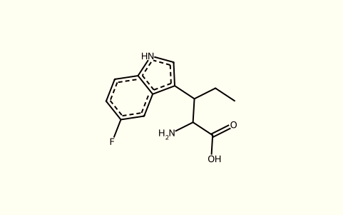 CCC(c1c[nH]c2ccc(F)cc12)C(N)C(=O)O